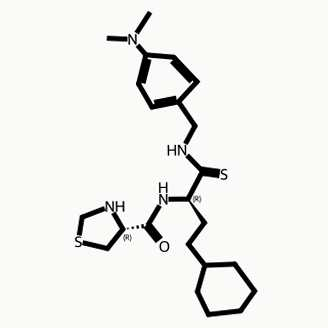 CN(C)c1ccc(CNC(=S)[C@@H](CCC2CCCCC2)NC(=O)[C@@H]2CSCN2)cc1